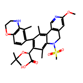 COc1cc2c(cn1)-c1c(C)c(-c3ccc4c(c3C)NCCO4)c([C@H](OC(C)(C)C)C(=O)O)c(C)c1N(S(C)(=O)=O)C2